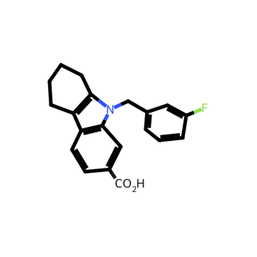 O=C(O)c1ccc2c3c(n(Cc4cccc(F)c4)c2c1)CCCC3